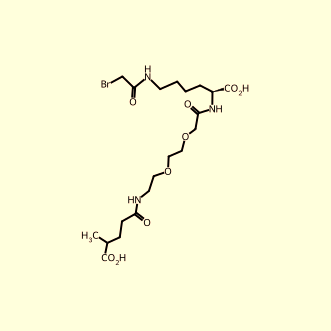 CC(CCC(=O)NCCOCCOCC(=O)N[C@@H](CCCCNC(=O)CBr)C(=O)O)C(=O)O